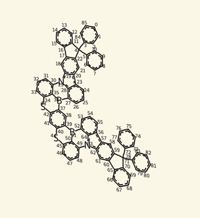 c1ccc(C2(c3ccccc3)c3ccccc3-c3cc4c(cc32)c2cccc3c2n4-c2cccc4c2B3c2cc3c(cc2S4)Sc2cccc4c2B3c2cccc3c5cc6c(cc5n-4c23)-c2ccccc2C6(c2ccccc2)c2ccccc2)cc1